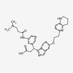 CN(C)CCC(=O)Nc1cncc(C(CC(=O)O)n2ncc3cc(OCCc4ccc5c(n4)CCCN5)ccc32)c1